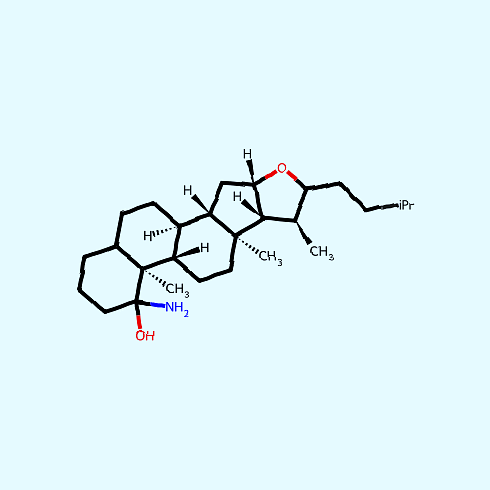 CC(C)CCC1O[C@H]2C[C@H]3[C@@H]4CCC5CCCC(N)(O)[C@]5(C)[C@H]4CC[C@]3(C)[C@H]2[C@@H]1C